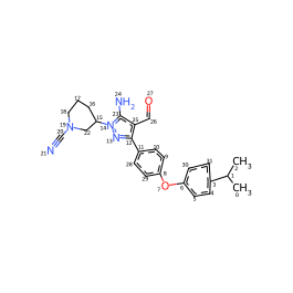 CC(C)c1ccc(Oc2ccc(-c3nn(C4CCCN(C#N)C4)c(N)c3C=O)cc2)cc1